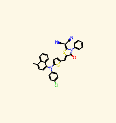 Cc1ccc(N(c2ccc(Cl)cc2)c2ccc(/C=c3\sc(=C(C#N)C#N)n(-c4ccccc4)c3=O)s2)c2ccccc12